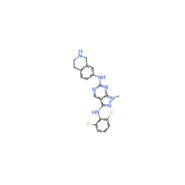 Cn1nc(Nc2c(F)cccc2F)c2cnc(Nc3ccc4c(c3)CNCC4)nc21